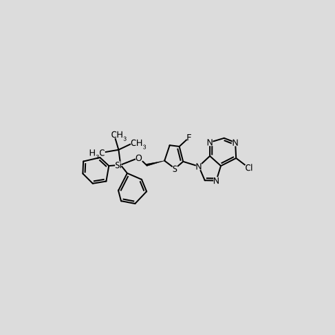 CC(C)(C)[Si](OC[C@H]1CC(F)=C(n2cnc3c(Cl)ncnc32)S1)(c1ccccc1)c1ccccc1